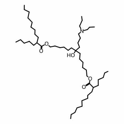 CCCCCCCCCC(CCCCC)C(=O)OCCCCCCC(O)(CCCCCCOC(=O)C(CCCCC)CCCCCCCCC)CCCCN(CCC)CCC